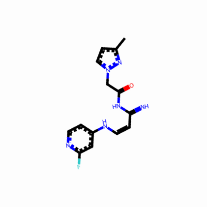 Cc1ccn(CC(=O)NC(=N)/C=C\Nc2ccnc(F)c2)n1